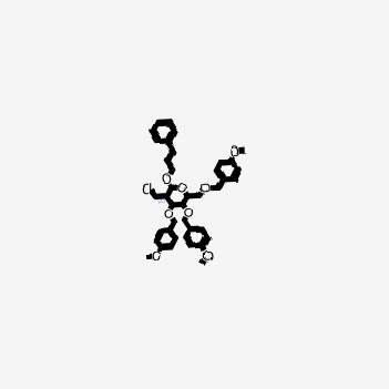 COc1ccc(COCC2O[C@H](OCCCc3ccccc3)/C(=C\Cl)C(OCc3ccc(OC)cc3)C2OCc2ccc(OC)cc2)cc1